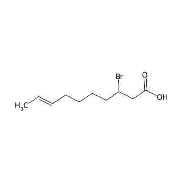 CC=CCCCCC(Br)CC(=O)O